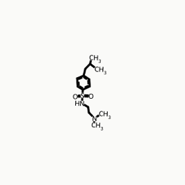 CC(C)Cc1ccc(S(=O)(=O)NCCN(C)C)cc1